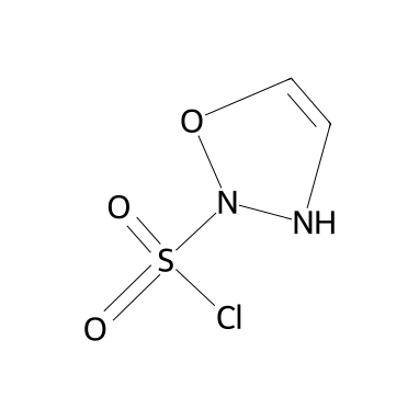 O=S(=O)(Cl)N1NC=CO1